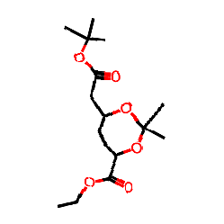 CCOC(=O)C1CC(CC(=O)OC(C)(C)C)OC(C)(C)O1